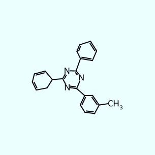 Cc1cccc(-c2nc(-c3ccccc3)nc(C3C=CC=CC3)n2)c1